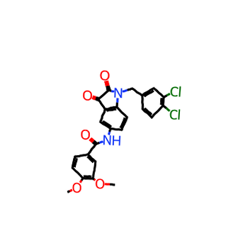 COc1ccc(C(=O)Nc2ccc3c(c2)C(=O)C(=O)N3Cc2ccc(Cl)c(Cl)c2)cc1OC